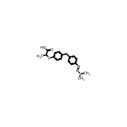 CC(Oc1ccc(Cc2ccc(N=NN(C)C)cc2)cc1)C(=O)O